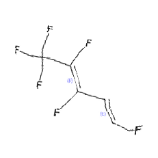 F/C=C/C(F)=C(\F)C(F)(F)F